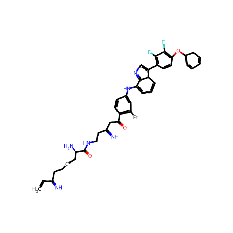 C=CC(=N)CCCC[C@@H](N)C(=O)NCCC(=N)CC(=O)c1ccc(NC2=CC=CC3C(c4ccc(OC5C=CC=CC5)c(F)c4F)=CN=C23)cc1CC